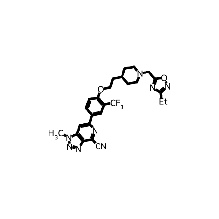 CCc1noc(CN2CCC(CCOc3ccc(-c4cc5c(nnn5C)c(C#N)n4)cc3C(F)(F)F)CC2)n1